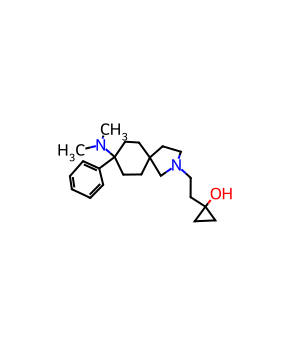 CN(C)C1(c2ccccc2)CCC2(CCN(CCC3(O)CC3)C2)CC1